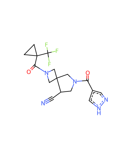 N#CC1CN(C(=O)c2cn[nH]c2)CC12CN(C(=O)C1(C(F)(F)F)CC1)C2